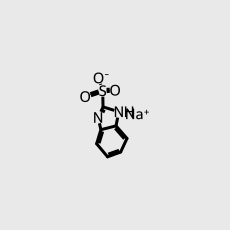 O=S(=O)([O-])c1nc2ccccc2[nH]1.[Na+]